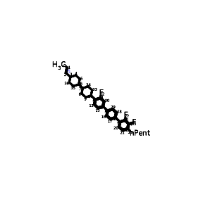 C/C=C/C1CCC(C2CCC(c3ccc(-c4ccc(-c5ccc(CCCCC)c(F)c5F)cc4)cc3F)CC2)CC1